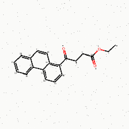 CCOC(=O)CCC(=O)c1cccc2c1ccc1ccccc12